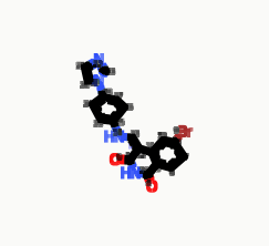 O=C1NC(=O)c2ccc(Br)cc2/C1=C/Nc1ccc(-n2ccnc2)cc1